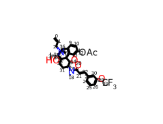 C=CCN1CC[C@]23c4c5ccc(OC(C)=O)c4OC2C(N(C)C(=O)/C=C/c2cccc(OC(F)(F)F)c2)CC[C@@]3(O)[C@H]1C5